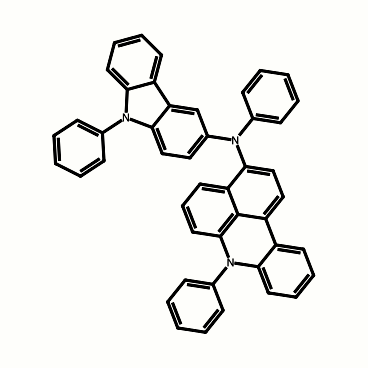 c1ccc(N(c2ccc3c(c2)c2ccccc2n3-c2ccccc2)c2ccc3c4c(cccc24)N(c2ccccc2)c2ccccc2-3)cc1